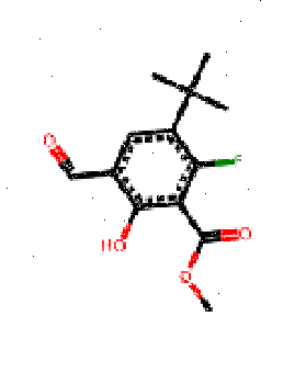 COC(=O)c1c(O)c(C=O)cc(C(C)(C)C)c1F